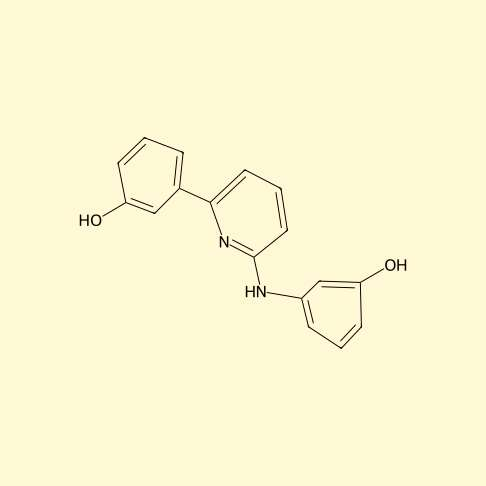 Oc1cccc(Nc2cccc(-c3cccc(O)c3)n2)c1